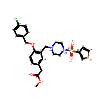 COC(=O)Cc1ccc(OCc2ccc(Cl)cc2)c(CN2CCN(S(=O)(=O)c3ccsc3)CC2)c1